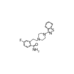 NC(=O)c1ccc(F)cc1CCN1CCN(c2nsc3ccccc23)CC1